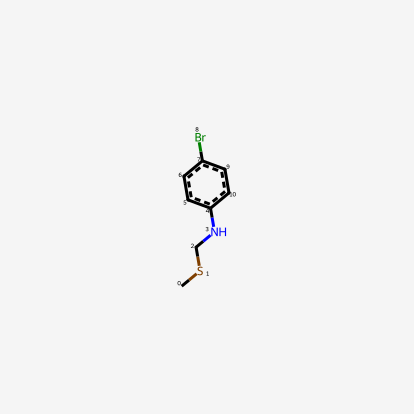 CSCNc1ccc(Br)cc1